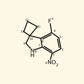 O=[N+]([O-])c1ccc(F)c2c1NCC21CCC1